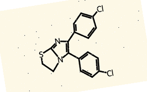 Clc1ccc(-c2nc3n(c2-c2ccc(Cl)cc2)CCS3)cc1